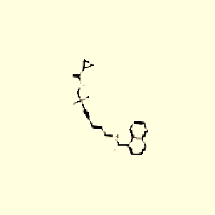 C[C@@H](NC/C=C/C#CC(C)(C)CNC(=O)C1CC1)c1cccc2ccccc12